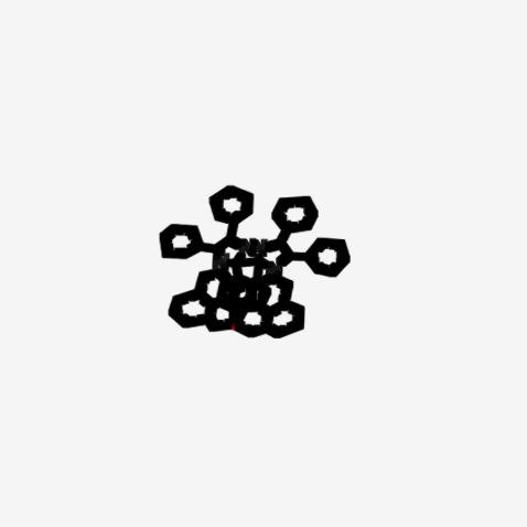 c1ccc(C2=NC(c3ccc4ccc5cccc6ccc3c4c56)(C3(c4ccc5ccc6cccc7ccc4c5c67)N=C(c4ccccc4)C(c4ccccc4)=N3)N=C2c2ccccc2)cc1